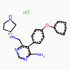 Cl.Nc1ncnc(CN[C@@H]2CCNC2)c1-c1ccc(Oc2ccccc2)cc1